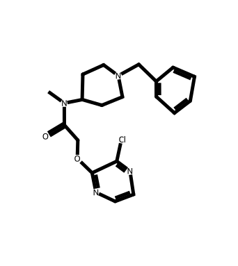 CN(C(=O)COc1nccnc1Cl)C1CCN(Cc2ccccc2)CC1